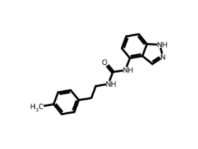 Cc1ccc(CCNC(=O)Nc2cccc3[nH]ncc23)cc1